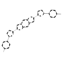 Fc1ccc(-c2ccc(-c3cc4cc5sc(-c6ccc(-c7ccc(F)cc7)s6)cc5cc4s3)s2)cc1